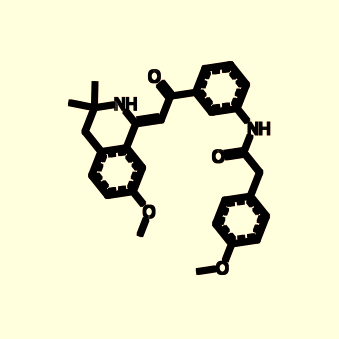 COc1ccc(CC(=O)Nc2cccc(C(=O)/C=C3\NC(C)(C)Cc4ccc(OC)cc43)c2)cc1